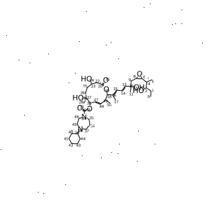 CCC(O)C(C)C1OC1CC(C)(O)/C=C/C=C(\C)C1OC(=O)CC(O)CCC(C)(O)C(OC(=O)N2CCCN(C3CCCCC3)CC2)/C=C/C1C